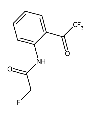 O=C(CF)Nc1ccccc1C(=O)C(F)(F)F